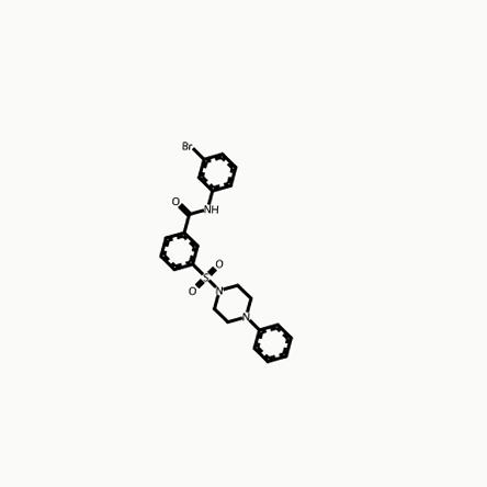 O=C(Nc1cccc(Br)c1)c1cccc(S(=O)(=O)N2CCN(c3ccccc3)CC2)c1